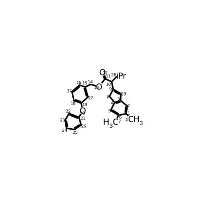 Cc1cc2c(cc1C)CC(C(C(=O)OCc1cccc(Oc3ccccc3)c1)C(C)C)=C2